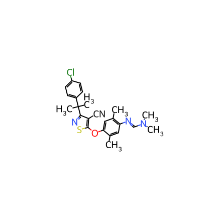 Cc1cc(Oc2snc(C(C)(C)c3ccc(Cl)cc3)c2C#N)c(C)cc1N=CN(C)C